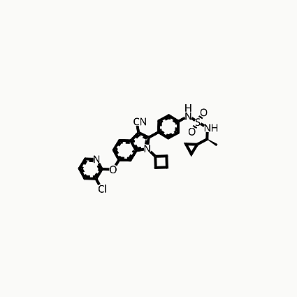 C[C@H](NS(=O)(=O)Nc1ccc(-c2c(C#N)c3ccc(Oc4ncccc4Cl)cc3n2C2CCC2)cc1)C1CC1